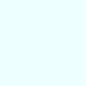 COC(Br)Oc1ccccc1